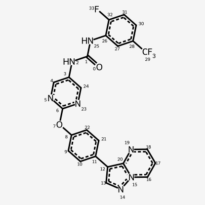 O=C(Nc1cnc(Oc2ccc(-c3cnn4cccnc34)cc2)nc1)Nc1cc(C(F)(F)F)ccc1F